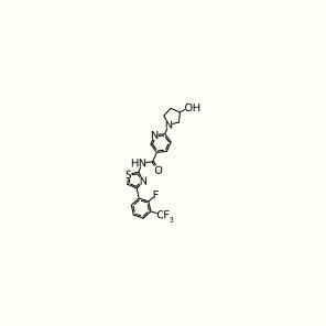 O=C(Nc1nc(-c2cccc(C(F)(F)F)c2F)cs1)c1ccc(N2CCC(O)C2)nc1